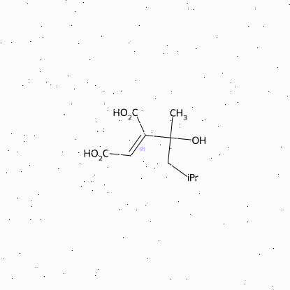 CC(C)CC(C)(O)/C(=C/C(=O)O)C(=O)O